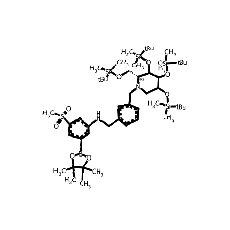 CC1(C)OB(c2cc(NCc3cccc(CN4CC(O[Si](C)(C)C(C)(C)C)C(O[Si](C)(C)C(C)(C)C)C(O[Si](C)(C)C(C)(C)C)[C@H]4CO[Si](C)(C)C(C)(C)C)c3)cc(S(C)(=O)=O)c2)OC1(C)C